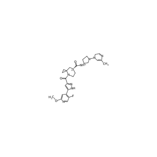 COc1cc(-c2cc(C(=O)N3CC[C@H](C(=O)N[C@H]4CCN(N5C=C(C)N=CC5)C4)CC34CC4)n[nH]2)c(F)cn1